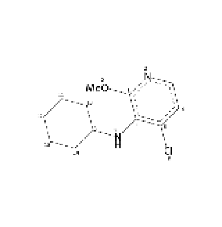 COc1nccc(Cl)c1NC1CCCCC1